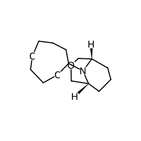 C1CCCC(N2[C@@H]3CCC[C@H]2COC3)CCC1